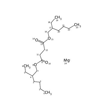 CCCCC(CC)COC(=O)CCC(=O)OCC(CC)CCCC.[Mg]